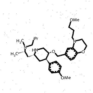 COCCCN1CCOc2ccc(CO[C@H]3CN[C@@H](C[C@H](C)N(C)CC(C)C)C[C@@H]3c3ccc(OC)cc3)cc21